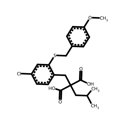 COc1ccc(CSc2cc(Cl)ccc2CC(CC(C)C)(C(=O)O)C(=O)O)cc1